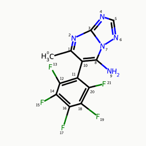 Cc1nc2ncnn2c(N)c1-c1c(F)c(F)c(F)c(F)c1F